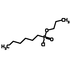 CCCCCCP(=O)(Cl)OCCC